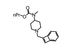 CCCOC(=O)N(C)C1CCN(CC2=Cc3ccccc32)CC1